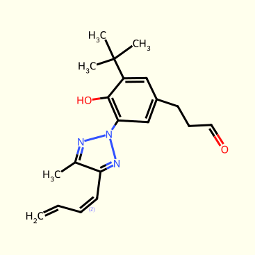 C=C/C=C\c1nn(-c2cc(CCC=O)cc(C(C)(C)C)c2O)nc1C